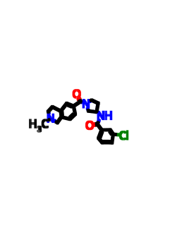 CN1CCc2cc(C(=O)N3CCC(NC(=O)c4cccc(Cl)c4)C3)ccc2C1